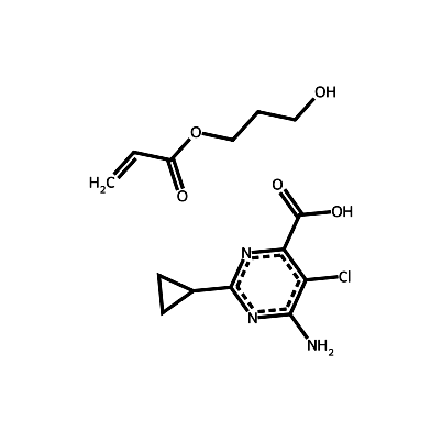 C=CC(=O)OCCCO.Nc1nc(C2CC2)nc(C(=O)O)c1Cl